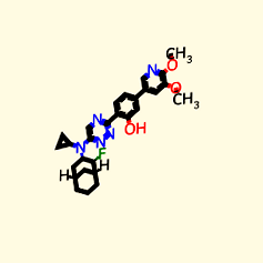 COc1cc(-c2ccc(-c3ncc(N(C4CC4)[C@@H]4C[C@H]5CCC[C@H](C5)[C@@H]4F)nn3)c(O)c2)cnc1OC